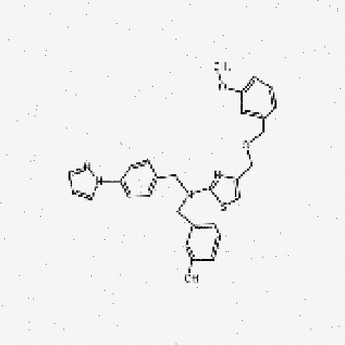 COc1cccc(COCc2csc(N(Cc3ccc(-n4cccn4)cc3)Cc3cccc(O)c3)n2)c1